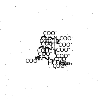 O=C([O-])C[C@H](NCCN[C@@H](CC(=O)[O-])C(=O)[O-])C(=O)[O-].O=C([O-])C[C@H](NCCN[C@@H](CC(=O)[O-])C(=O)[O-])C(=O)[O-].O=C([O-])C[C@H](NCCN[C@@H](CC(=O)[O-])C(=O)[O-])C(=O)[O-].[Fe+3].[Fe+3].[Fe+3].[Fe+3]